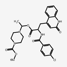 CC(OC(=O)C(Cc1cc(=O)[nH]c2ccccc12)NC(=O)c1ccc(Cl)cc1)N1CCN(C(=O)OC(C)(C)C)CC1